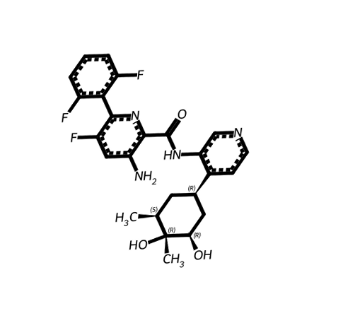 C[C@H]1C[C@@H](c2ccncc2NC(=O)c2nc(-c3c(F)cccc3F)c(F)cc2N)C[C@@H](O)[C@]1(C)O